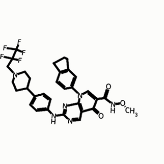 CONC(=O)c1cn(-c2ccc3c(c2)CCC3)c2nc(Nc3ccc(C4CCN(CC(F)(F)C(F)(F)F)CC4)cc3)ncc2c1=O